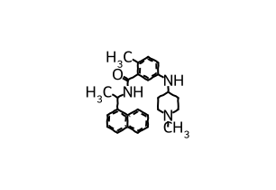 Cc1ccc(NC2CCN(C)CC2)cc1C(=O)NC(C)c1cccc2ccccc12